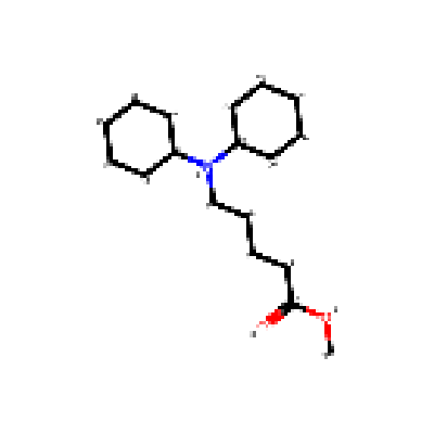 COC(=O)CCCCN(C1CCCCC1)C1CCCCC1